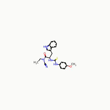 CCN(C#N)C(=O)C(Cc1c[nH]c2ccccc12)NC(=S)Nc1ccc(OC)cc1